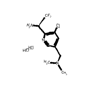 CN(C)Cc1cnc([C@@H](N)C(F)(F)F)c(Cl)c1.Cl.Cl